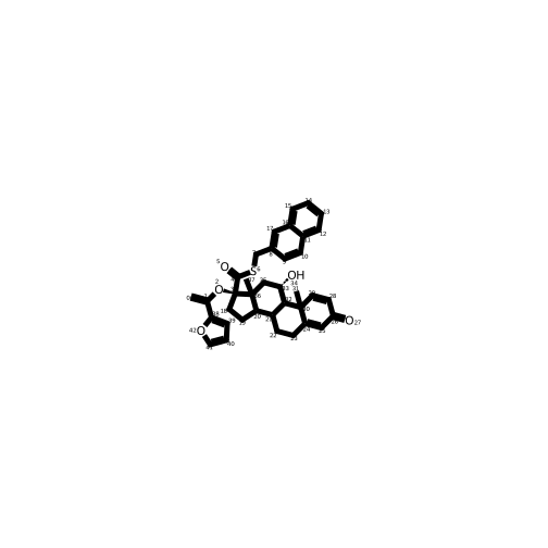 C=C(O[C@]1(C(=O)SCc2ccc3ccccc3c2)CCC2C3CCC4=CC(=O)C=CC4(C)C3[C@@H](O)CC21C)c1ccco1